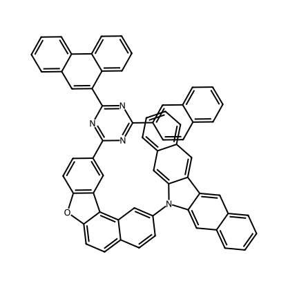 c1ccc2cc(-c3nc(-c4ccc5oc6ccc7ccc(-n8c9cc%10ccccc%10cc9c9cc%10ccccc%10cc98)cc7c6c5c4)nc(-c4cc5ccccc5c5ccccc45)n3)ccc2c1